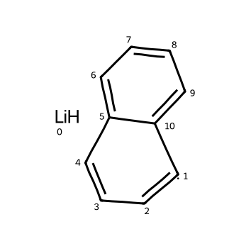 [LiH].[c]1cccc2ccccc12